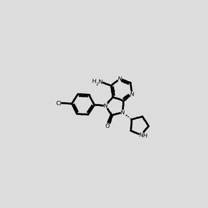 Nc1ncnc2c1n(-c1ccc(Cl)cc1)c(=O)n2[C@@H]1CCNC1